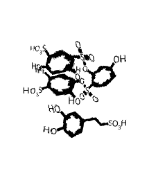 CCCc1cc(OS(=O)(=O)c2ccc(O)cc2OS(=O)(=O)c2cc(S(=O)(=O)O)c(O)cc2O)c(O)cc1S(=O)(=O)O.O=S(=O)(O)CCc1ccc(O)c(O)c1